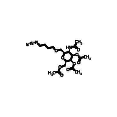 CC(=O)N[C@@H]1[C@@H](OC(C)=O)[C@@H](OC(C)=O)[C@@H](COC(C)=O)O[C@H]1COCCCCN=[N+]=[N-]